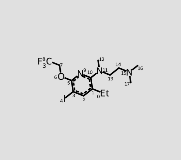 CCc1cc(I)c(OCC(F)(F)F)nc1N(C)CCN(C)C